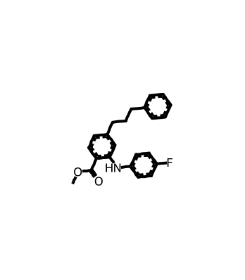 COC(=O)c1ccc(CCCc2ccccc2)cc1Nc1ccc(F)cc1